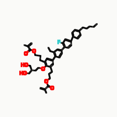 C=C(C)C(=O)OCCCc1cc(-c2ccc(-c3ccc(-c4ccc(CCCCC)cc4)cc3F)cc2CC)cc(CCCOC(=O)C(=C)C)c1OCCC(CO)CO